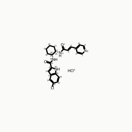 Cl.O=C(C=Cc1ccncc1)N[C@H]1CCCC[C@H]1NC(=O)c1cc2cc(Cl)ccc2[nH]1